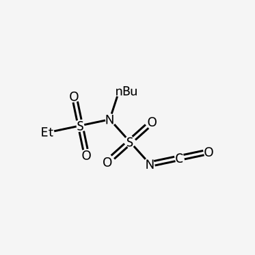 CCCCN(S(=O)(=O)CC)S(=O)(=O)N=C=O